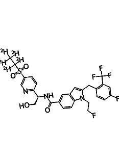 [2H]C([2H])([2H])C([2H])([2H])S(=O)(=O)c1ccc([C@H](CO)NC(=O)c2ccc3c(c2)cc(Cc2ccc(F)cc2C(F)(F)F)n3CCF)nc1